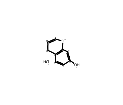 Cl.Oc1ccc2c(c1)OC=CC2